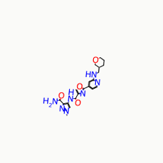 Cn1cc(NC(=O)c2coc(-c3ccnc(NCC4CCCOC4)c3)n2)c(C(N)=O)n1